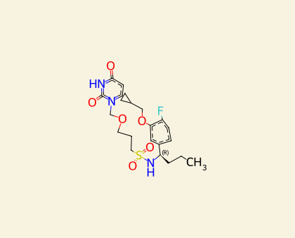 CCC[C@@H](NS(=O)(=O)CCCOCn1ccc(=O)[nH]c1=O)c1ccc(F)c(OCC2CC2)c1